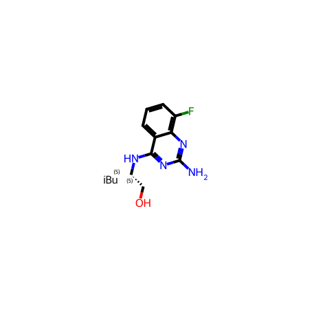 CC[C@H](C)[C@@H](CO)Nc1nc(N)nc2c(F)cccc12